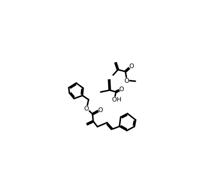 C=C(C)C(=O)O.C=C(C)C(=O)OC.C=C(CC=Cc1ccccc1)C(=O)OCc1ccccc1